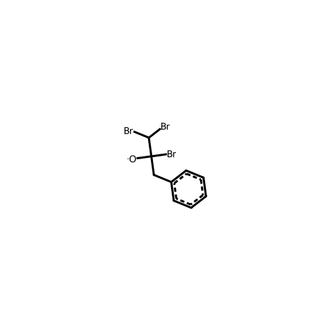 [O]C(Br)(Cc1ccccc1)C(Br)Br